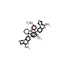 Nc1nc2ccc(C3(c4ccc(OC(F)(F)F)cc4)CCCCN3C(=O)N3CCCCC3(c3ccc(OC(F)(F)F)cc3)c3ccc4nc(N)c5cncn5c4c3)cc2n2cncc12